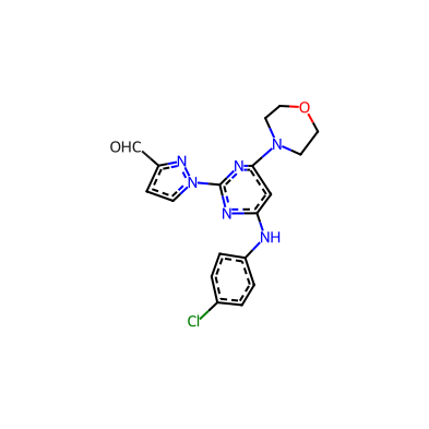 O=Cc1ccn(-c2nc(Nc3ccc(Cl)cc3)cc(N3CCOCC3)n2)n1